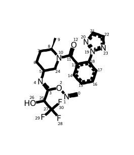 C=NO/C(=N\C1CC[C@@H](C)N(C(=O)c2ccccc2-n2nccn2)C1)C(O)C(F)(F)F